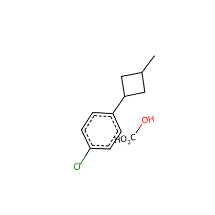 CC1CC(c2ccc(Cl)cc2)C1.O=C(O)O